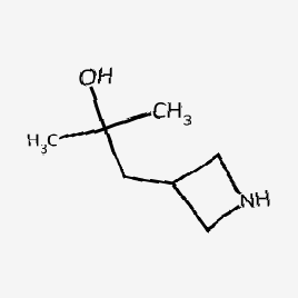 CC(C)(O)CC1CNC1